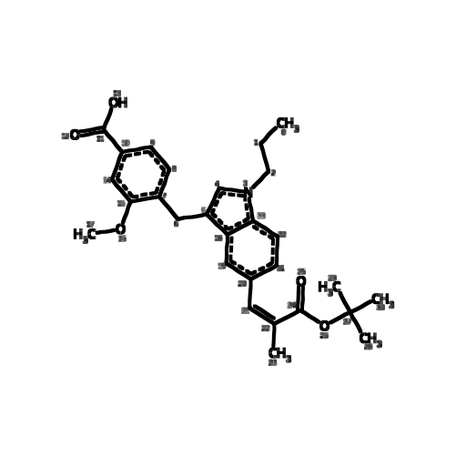 CCCn1cc(Cc2ccc(C(=O)O)cc2OC)c2cc(/C=C(/C)C(=O)OC(C)(C)C)ccc21